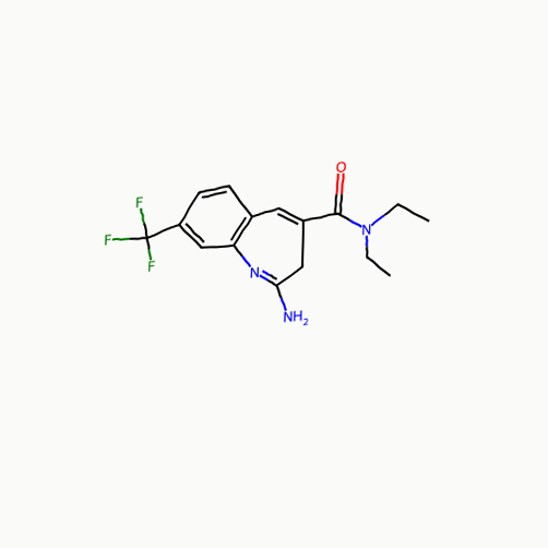 CCN(CC)C(=O)C1=Cc2ccc(C(F)(F)F)cc2N=C(N)C1